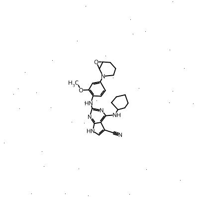 COc1cc(N2CCCC3OC32)ccc1Nc1nc(NC2CCCCC2)c2c(C#N)c[nH]c2n1